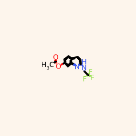 CC(=O)Oc1ccc2ccc(NCC(F)(F)F)nc2c1